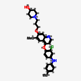 COc1cc2c(Oc3ccc(Nc4ccc(C(C)(C)C)cc4)cc3Cl)ccnc2cc1OCCCN1CCC(O)CC1